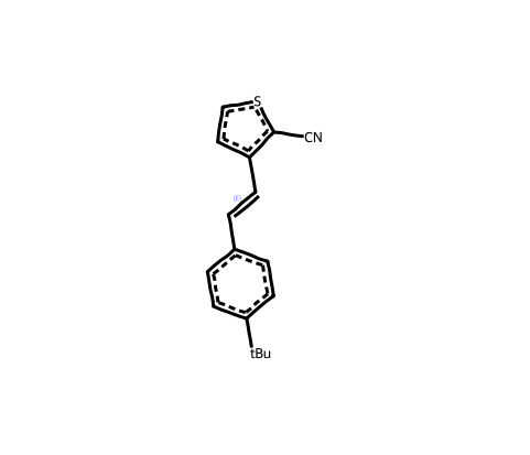 CC(C)(C)c1ccc(/C=C/c2ccsc2C#N)cc1